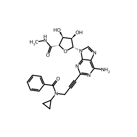 CNC(=O)[C@H]1O[C@@H](n2cnc3c(N)nc(C#CCN(C(=O)c4ccccc4)C4CC4)nc32)[C@H](O)[C@@H]1O